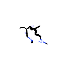 C=N/C=C(C)\C=C(\C)CCNC